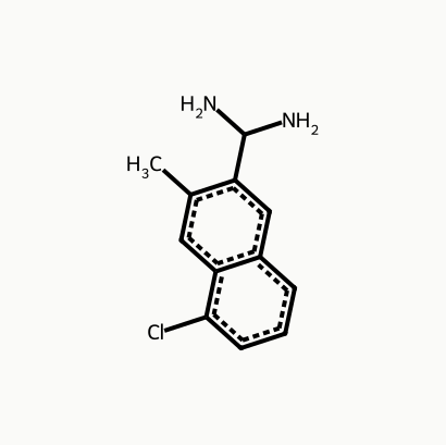 Cc1cc2c(Cl)cccc2cc1C(N)N